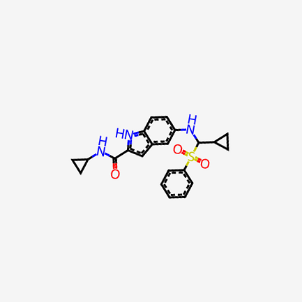 O=C(NC1CC1)c1cc2cc(NC(C3CC3)S(=O)(=O)c3ccccc3)ccc2[nH]1